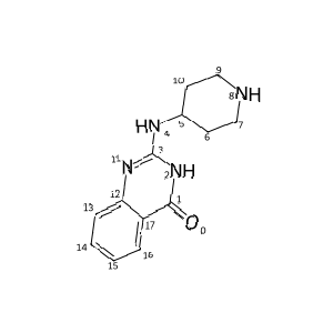 O=c1[nH]c(NC2CCNCC2)nc2ccccc12